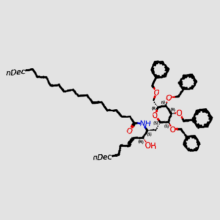 CCCCCCCCCCCCC=C[C@@H](O)[C@H](C[C@@H]1O[C@H](COCc2ccccc2)[C@H](OCc2ccccc2)[C@H](OCc2ccccc2)[C@H]1OCc1ccccc1)NC(=O)CCCCCCCCCCCCCCCCCCCCCCCCC